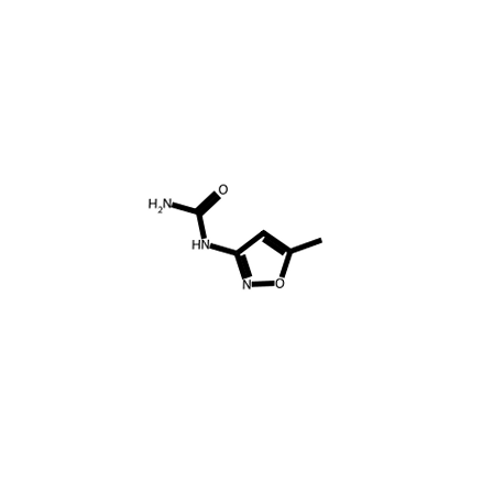 Cc1cc(NC(N)=O)no1